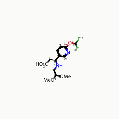 COC(CN[C@@H](CC(=O)O)c1ccc(OC(F)F)nc1)OC